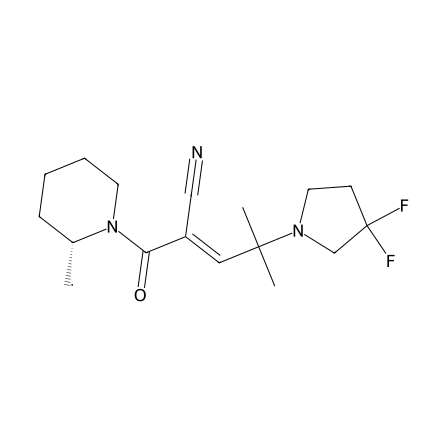 [CH2][C@@H]1CCCCN1C(=O)/C(C#N)=C/C(C)(C)N1CCC(F)(F)C1